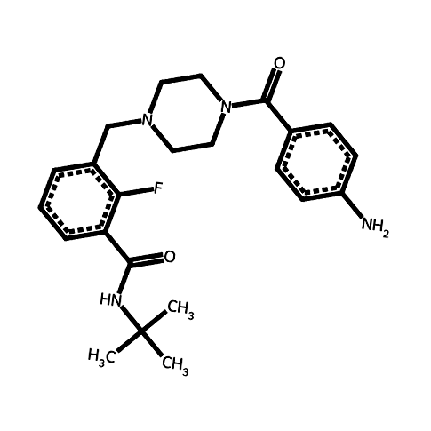 CC(C)(C)NC(=O)c1cccc(CN2CCN(C(=O)c3ccc(N)cc3)CC2)c1F